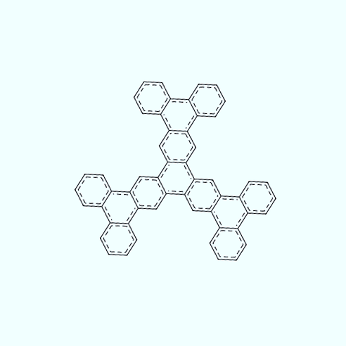 c1ccc2c(c1)c1ccccc1c1cc3c(cc21)c1cc2c4ccccc4c4ccccc4c2cc1c1cc2c4ccccc4c4ccccc4c2cc31